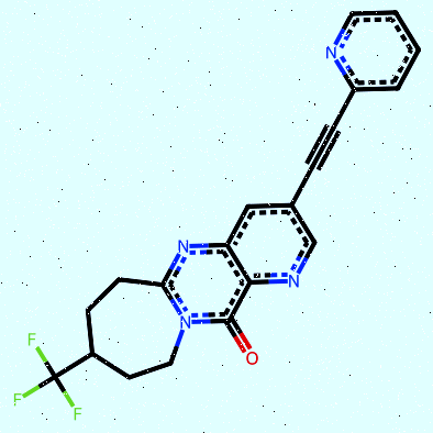 O=c1c2ncc(C#Cc3ccccn3)cc2nc2n1CCC(C(F)(F)F)CC2